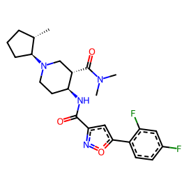 C[C@H]1CCC[C@@H]1N1CC[C@H](NC(=O)c2cc(-c3ccc(F)cc3F)on2)[C@@H](C(=O)N(C)C)C1